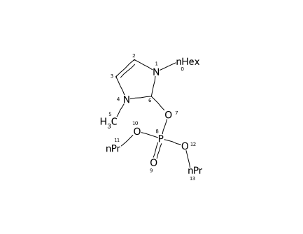 CCCCCCN1C=CN(C)C1OP(=O)(OCCC)OCCC